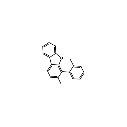 Cc1ccccc1-c1c(C)ccc2c1oc1ccccc12